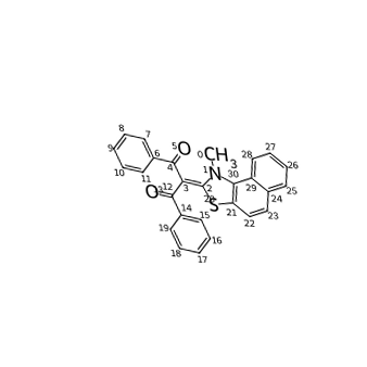 CN1C(=C(C(=O)c2ccccc2)C(=O)c2ccccc2)Sc2ccc3ccccc3c21